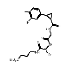 CCOC(=O)CCCNC(=O)[C@@H](NC(=O)CNC(=O)C1CC1c1ccc(F)c(F)c1)C(C)C